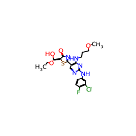 CCOC(O)=C1SC(c2cnc(Nc3ccc(F)c(Cl)c3)nc2NCCCOC)=NC1=O